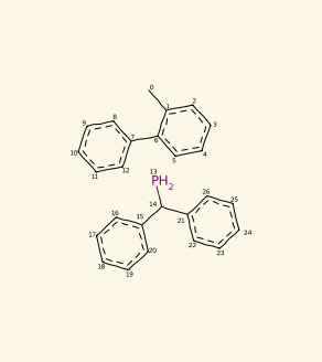 Cc1ccccc1-c1ccccc1.PC(c1ccccc1)c1ccccc1